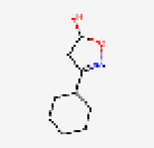 OC1CC(C2CCCCC2)=NO1